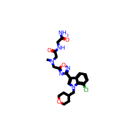 CN(CC(=O)NCC(N)=O)Cc1nc(-c2cn(CC3CCOCC3)c3c(Cl)cccc23)no1